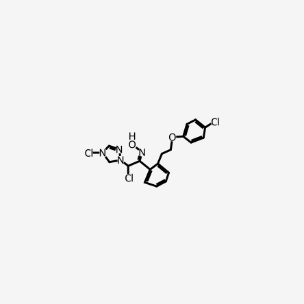 ON=C(c1ccccc1CCOc1ccc(Cl)cc1)C(Cl)N1CN(Cl)C=N1